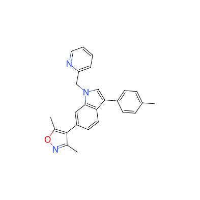 Cc1ccc(-c2cn(Cc3ccccn3)c3cc(-c4c(C)noc4C)ccc23)cc1